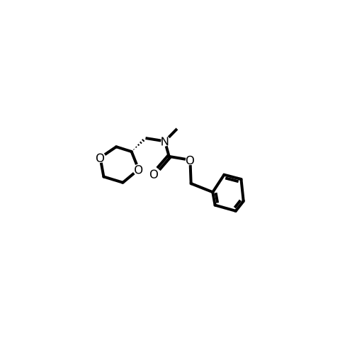 CN(C[C@H]1COCCO1)C(=O)OCc1ccccc1